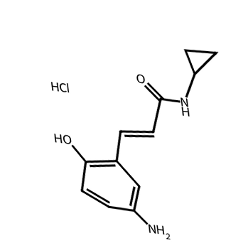 Cl.Nc1ccc(O)c(C=CC(=O)NC2CC2)c1